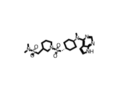 CN(C)S(=O)(=O)CC1CCCN(S(=O)(=O)C[C@H]2CC[C@H](N(C)c3ncnc4[nH]ccc34)CC2)C1